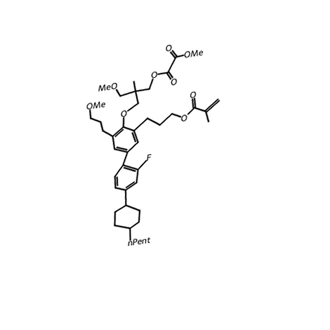 C=C(C)C(=O)OCCCc1cc(-c2ccc(C3CCC(CCCCC)CC3)cc2F)cc(CCCOC)c1OCC(C)(COC)COC(=O)C(=O)OC